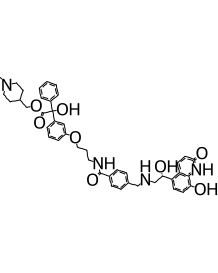 CN1CCC(COC(=O)C(O)(c2ccccc2)c2cccc(OCCCNC(=O)c3ccc(CNC[C@H](O)c4ccc(O)c5[nH]c(=O)ccc45)cc3)c2)CC1